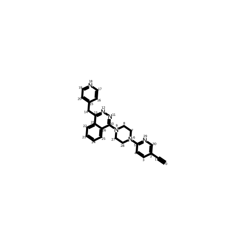 C#Cc1ccc(N2CCN(c3nnc(Cc4ccncc4)c4ccccc34)CC2)nc1